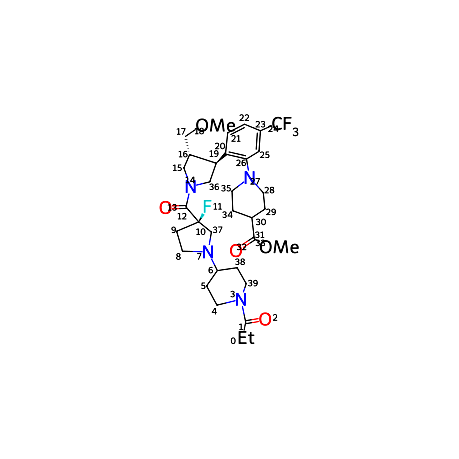 CCC(=O)N1CCC(N2CC[C@](F)(C(=O)N3C[C@H](COC)[C@@H](c4ccc(C(F)(F)F)cc4N4CCC(C(=O)OC)CC4)C3)C2)CC1